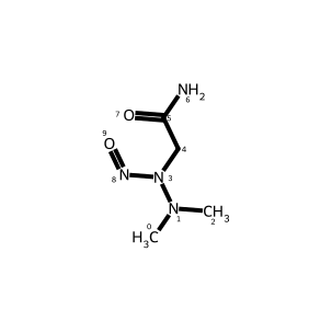 CN(C)N(CC(N)=O)N=O